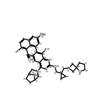 C#Cc1c(F)ccc2cc(O)cc(-c3c(Cl)cc4c(N5CC6CCC(C5)N6)nc(OCC5(CN6CC7(CCCO7)C6)CC5)nc4c3F)c12